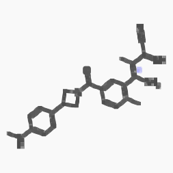 CNc1ccc(C2CN(C(=O)c3ccc(C)c(/C(N)=C(\C)C(=N)C#N)c3)C2)cc1